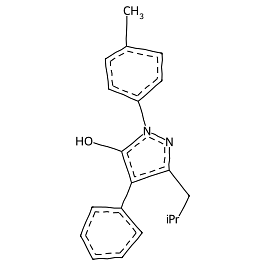 Cc1ccc(-n2nc(CC(C)C)c(-c3ccccc3)c2O)cc1